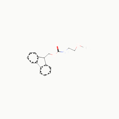 O=[C]OCCNC(=O)OCC1c2ccccc2-c2ccccc21